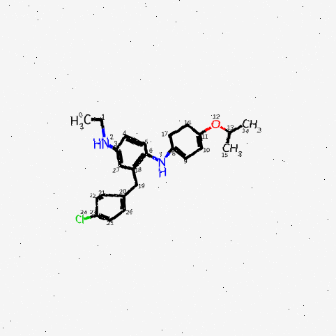 CCNc1ccc(NC2=CC=C(OC(C)C)CC2)c(Cc2ccc(Cl)cc2)c1